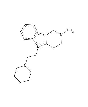 CN1CCc2c(c3ccccc3n2CCN2CCCCC2)C1